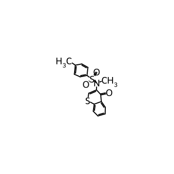 Cc1ccc(S(=O)(=O)N(C)c2csc3ccccc3c2=O)cc1